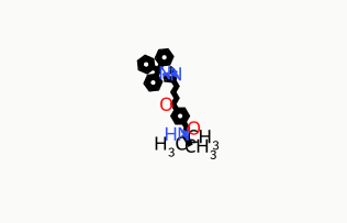 CC(C)(C)NC(=O)c1ccc(C(=O)CCCc2cn(C(c3ccccc3)(c3ccccc3)c3ccccc3)cn2)cc1